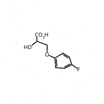 O=C(O)C(O)COc1ccc(F)cc1